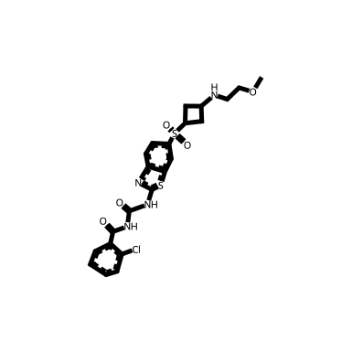 COCCNC1CC(S(=O)(=O)c2ccc3nc(NC(=O)NC(=O)c4ccccc4Cl)sc3c2)C1